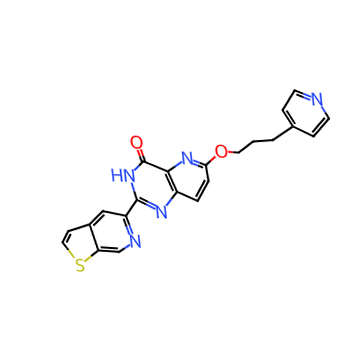 O=c1[nH]c(-c2cc3ccsc3cn2)nc2ccc(OCCCc3ccncc3)nc12